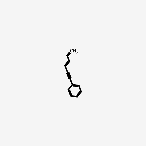 C=CC=CC#Cc1ccccc1